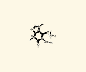 CCCCCCn1c(=O)c2c(ncn2C)n(C)c1=O.CNC